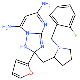 NC1=CC(N)=NC2=NC(CC3CCCN3Cc3ccccc3F)(c3ccco3)NN12